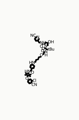 CC(C)(C)C(NC(=O)COCCCCCNc1ccc(C(=O)N[C@H]2C(C)(C)[C@H](Oc3ccc(C#N)c(Cl)c3)C2(C)C)cc1)C(=O)N1C[C@H](O)C[C@H]1C(=O)NCc1ccc(C#N)nc1